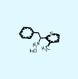 Cc1ccsc1C(N)Cc1ccccc1.Cl